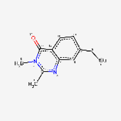 Bn1c(C)nc2cc(CC(C)(C)C)ccc2c1=O